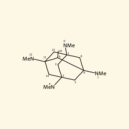 CNC12CC3(NC)CC(NC)(C1)C(C)C(NC)(C2)C3